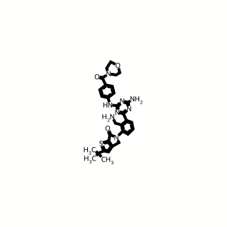 CC(C)(C)c1cc2c(s1)C(=O)N(c1cccc(-c3nc(N)nc(Nc4ccc(C(=O)N5CCOCC5)cc4)n3)c1CN)C2